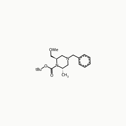 COC[C@H]1CN(Cc2ccccc2)C[C@H](C)N1C(=O)OC(C)(C)C